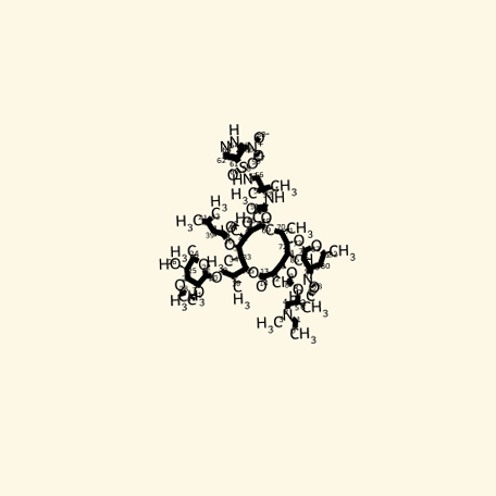 CCN(C)C[C@H](C)OCO[C@@H]1C(C)C(=O)OC([C@H](C)COC2OC(C)[C@@H](O)[C@@H](OC)[C@H]2OC)[C@H](C)[C@@H](OC(=O)CC(C)C)[C@@H](C)C(=O)[C@@](C)(OC(=O)NC(C)(C)CNS(=O)(=O)c2cn[nH]c2[N+](=O)[O-])C[C@H](C)[C@H](O[C@H]2CC(=NOC)C[C@@H](C)O2)[C@H]1C